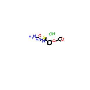 Cl.NCC(=O)Nc1nc(-c2cccc(OCC3CCOC3)c2)cs1